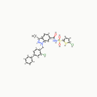 Cc1nn(Cc2ccc(-c3ccccc3)cc2Cl)c2cc(C(=O)NS(=O)(=O)c3ccc(Cl)s3)ccc12